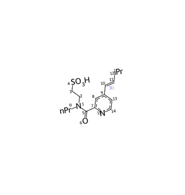 CCCN(CCS(=O)(=O)O)C(=O)c1cc(/C=C/C(C)C)ccn1